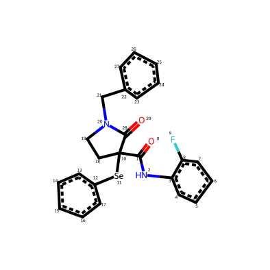 O=C(Nc1ccccc1F)C1([Se]c2ccccc2)CCN(Cc2ccccc2)C1=O